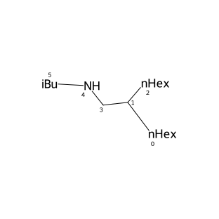 CCCCCCC(CCCCCC)CNC(C)CC